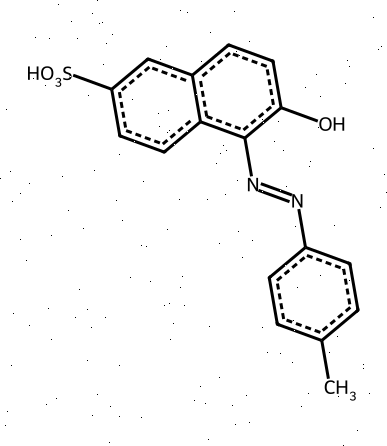 Cc1ccc(/N=N/c2c(O)ccc3cc(S(=O)(=O)O)ccc23)cc1